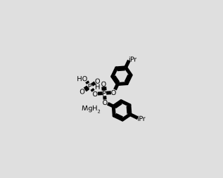 CC(C)c1ccc(OP(=O)(Oc2ccc(C(C)C)cc2)OP(=O)(O)O)cc1.[MgH2]